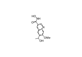 COc1cc2ncc(C(=O)NO)cc2cc1C(C)O